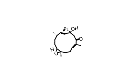 C/C1=C\CC[C@]2(C)O[C@H]2CC[C@H](C)/C=C/[C@@](O)(C(C)C)CC1=O